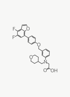 O=C(O)CN(CC1CCOCC1)c1cccc(COc2ccc(-c3cc(F)c(F)c4ccoc34)cc2)c1